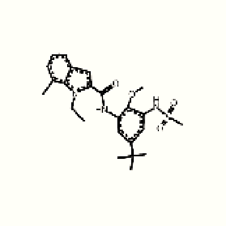 CCn1c(C(=O)Nc2cc(C(C)(C)C)cc(NS(C)(=O)=O)c2OC)cc2cccc(C)c21